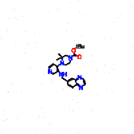 CC(C)(C)OC(=O)N1CCN(c2ccncc2NCc2ccc3nccnc3c2)C(C)(C)C1